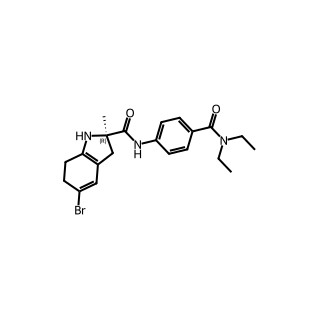 CCN(CC)C(=O)c1ccc(NC(=O)[C@@]2(C)CC3=C(CCC(Br)=C3)N2)cc1